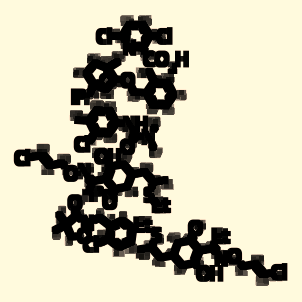 CC1(C)CON(Cc2ccccc2Cl)C1=O.CCC/C(=N\OC/C=C/Cl)C1=C(O)CC(CC(C)SCC)CC1=O.CCSC(C)CC1CC(=O)C(/C(CC)=N/OC/C=C/Cl)=C(O)C1.Cc1ccc(NC(=O)N(C)C)cc1Cl.Cc1ccccc1COC1CC2(C(C)C)CCC1(C)O2.O=C(O)c1nc(Cl)ccc1Cl